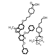 CC(C)(C)OC(=O)N1CCN(CCCO)CC1.Cn1nc(-c2ccc(OCc3ccccc3)nc2OCc2ccccc2)c2ccc(OCCCN3CCN(C(=O)O)CC3)cc21